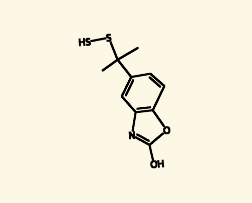 CC(C)(SS)c1ccc2oc(O)nc2c1